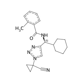 Cc1ccccc1C(=O)N[C@H](c1cn(C2(C#N)CC2)nn1)C1CCCCC1